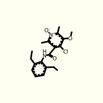 CCc1cccc(CC)c1NC(=O)c1c(Cl)c(OC)c(C)[n+]([O-])c1C